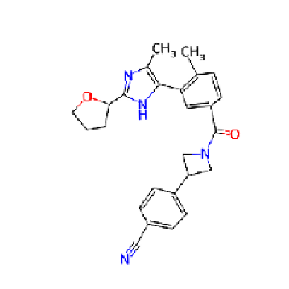 Cc1ccc(C(=O)N2CC(c3ccc(C#N)cc3)C2)cc1-c1[nH]c(C2CCCO2)nc1C